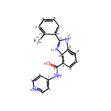 O=C(Nc1ccncc1)c1cccc2[nH]c(-c3ccccc3C(F)(F)F)nc12